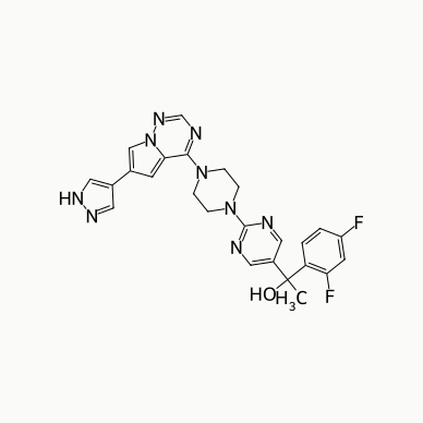 CC(O)(c1cnc(N2CCN(c3ncnn4cc(-c5cn[nH]c5)cc34)CC2)nc1)c1ccc(F)cc1F